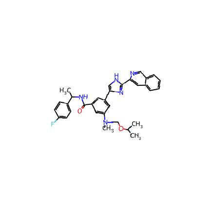 CC(C)OCN(C)c1cc(C(=O)NC(C)c2ccc(F)cc2)cc(-c2c[nH]c(-c3cc4ccccc4cn3)n2)c1